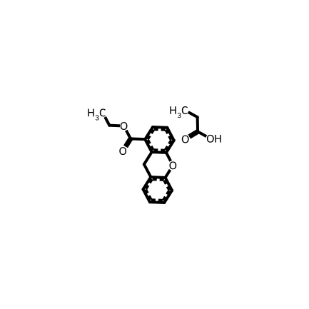 CCC(=O)O.CCOC(=O)c1cccc2c1Cc1ccccc1O2